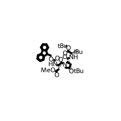 CC[C@H](C)[C@H](NC(=O)[C@@H]1C[C@@H](OC(C)(C)C)CN1C(=O)[C@H](CC(=O)OC)NC(=O)OCC1c2ccccc2-c2ccccc21)C(=O)OC(C)(C)C